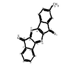 Cc1ccc2c(c1)c(=O)c1nc3c(nc12)c(=O)c1ccccc13